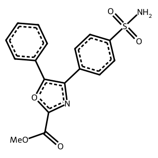 COC(=O)c1nc(-c2ccc(S(N)(=O)=O)cc2)c(-c2ccccc2)o1